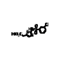 CCOC(=O)Cc1cnc(NS(=O)(=O)c2cccc(Cl)c2)s1